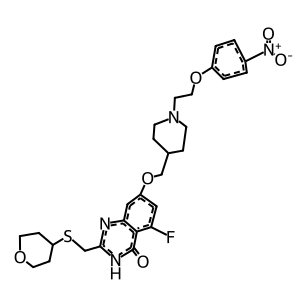 O=c1[nH]c(CSC2CCOCC2)nc2cc(OCC3CCN(CCOc4ccc([N+](=O)[O-])cc4)CC3)cc(F)c12